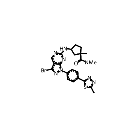 CNC(=O)C1(C)CCC(Nc2ncc3c(Br)nn(-c4ccc(-c5nnc(C)s5)cc4)c3n2)C1